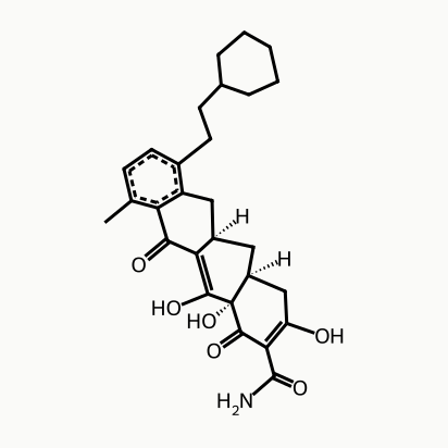 Cc1ccc(CCC2CCCCC2)c2c1C(=O)C1=C(O)[C@]3(O)C(=O)C(C(N)=O)=C(O)C[C@@H]3C[C@@H]1C2